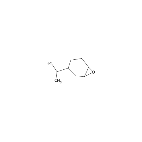 C[C](C)C(C)C1CCC2OC2C1